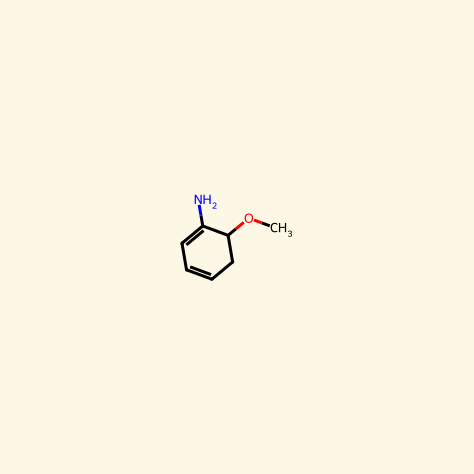 COC1CC=CC=C1N